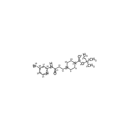 CC(C)(C)OC(=O)N1CCN(CCC(=O)Nc2cc(Br)ccn2)CC1